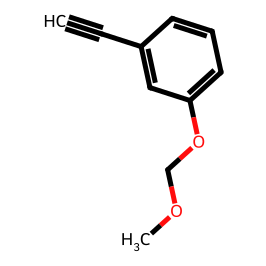 C#Cc1cccc(OCOC)c1